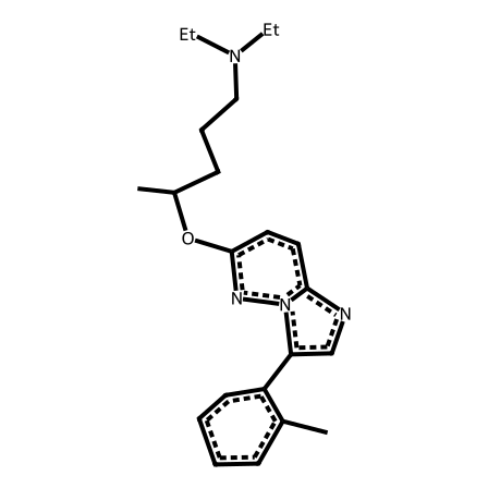 CCN(CC)CCCC(C)Oc1ccc2ncc(-c3ccccc3C)n2n1